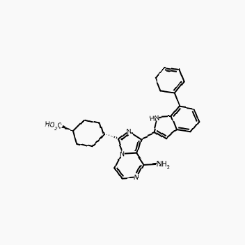 Nc1nccn2c1c(-c1cc3cccc(C4=CC=CCC4)c3[nH]1)nc2[C@H]1CC[C@H](C(=O)O)CC1